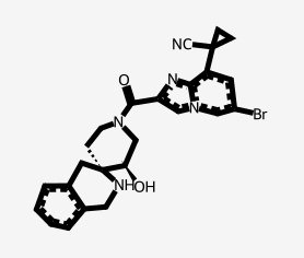 N#CC1(c2cc(Br)cn3cc(C(=O)N4CC[C@]5(Cc6ccccc6CN5)[C@H](O)C4)nc23)CC1